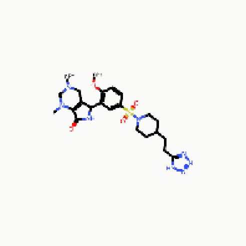 CCCOc1ccc(S(=O)(=O)N2CCC(CCc3nnn[nH]3)CC2)cc1C1NC(=O)C2=C1CN(CCC)CN2C